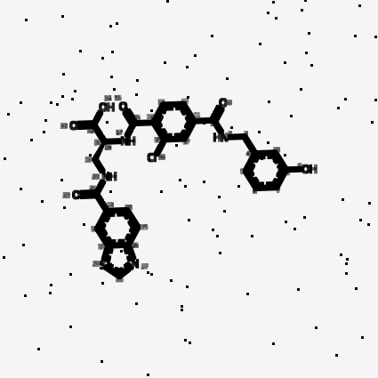 O=C(NCc1cccc(O)c1)c1ccc(C(=O)N[C@@H](CNC(=O)c2ccc3ncsc3c2)C(=O)O)c(Cl)c1